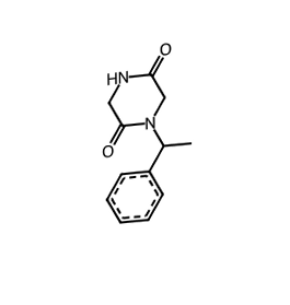 CC(c1ccccc1)N1CC(=O)NCC1=O